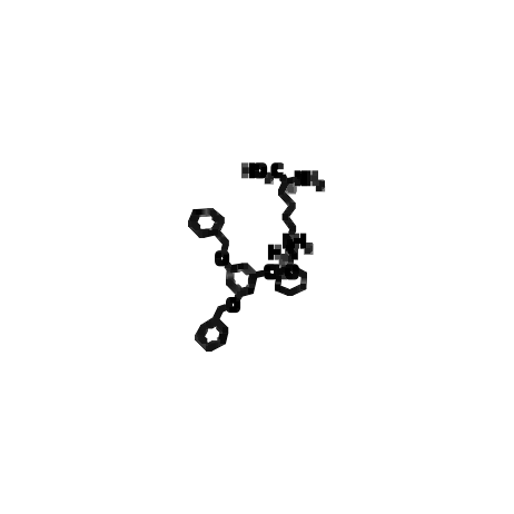 NC1CCCCC1.NCCCC[C@H](N)C(=O)O.O=Cc1cc(OCc2ccccc2)cc(OCc2ccccc2)c1